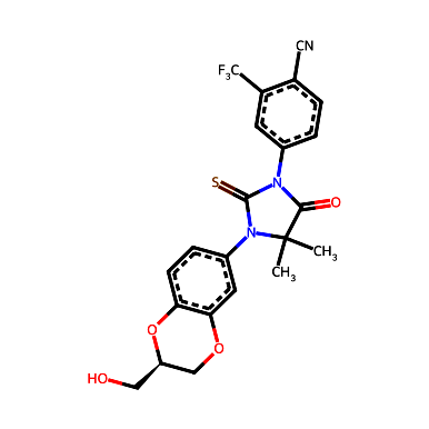 CC1(C)C(=O)N(c2ccc(C#N)c(C(F)(F)F)c2)C(=S)N1c1ccc2c(c1)OC[C@@H](CO)O2